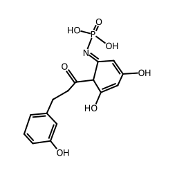 O=C(CCc1cccc(O)c1)C1C(O)=CC(O)=CC1=NP(=O)(O)O